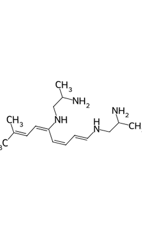 CC(C)=C\C=C(/C=C\C=C\NCC(C)N)NCC(C)N